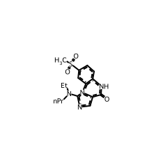 CCCN(CC)c1ncc2c(=O)[nH]c3ccc(S(C)(=O)=O)cc3n12